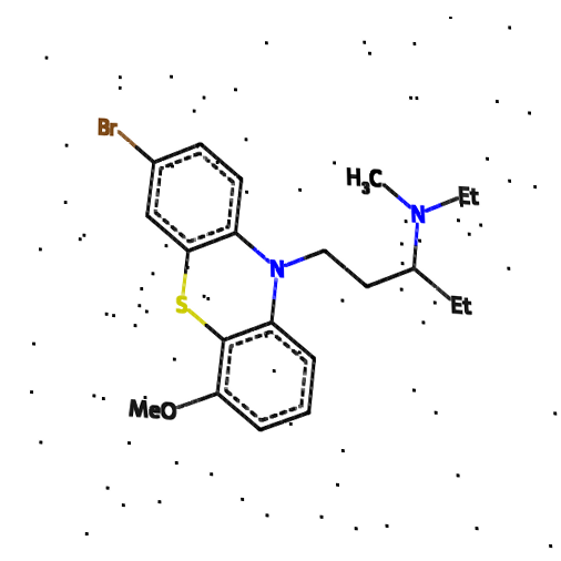 CCC(CCN1c2ccc(Br)cc2Sc2c(OC)cccc21)N(C)CC